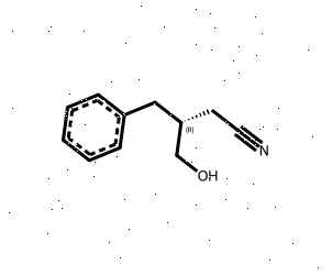 N#CC[C@H](CO)Cc1ccccc1